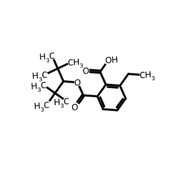 CCc1cccc(C(=O)OC(C(C)(C)C)C(C)(C)C)c1C(=O)O